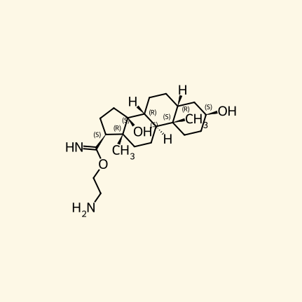 C[C@]12CC[C@H](O)C[C@H]1CC[C@@H]1[C@@H]2CC[C@]2(C)[C@@H](C(=N)OCCN)CC[C@]12O